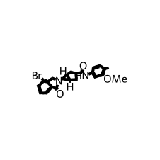 COc1cc(NC(=O)C2C[C@@H]3C(N4Cc5c(Br)cccc5C4=O)[C@@H]3C2)ccc1C